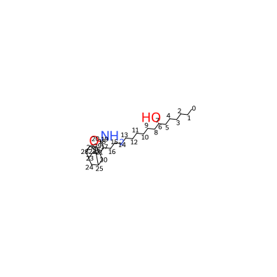 CCCCCCC(O)CCCCCCCCCC(C(N)=O)C12CC3CC(CC(C3)C1)C2